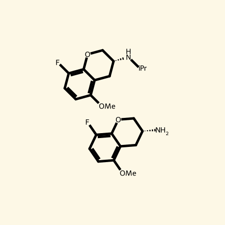 COc1ccc(F)c2c1C[C@@H](N)CO2.COc1ccc(F)c2c1C[C@@H](NC(C)C)CO2